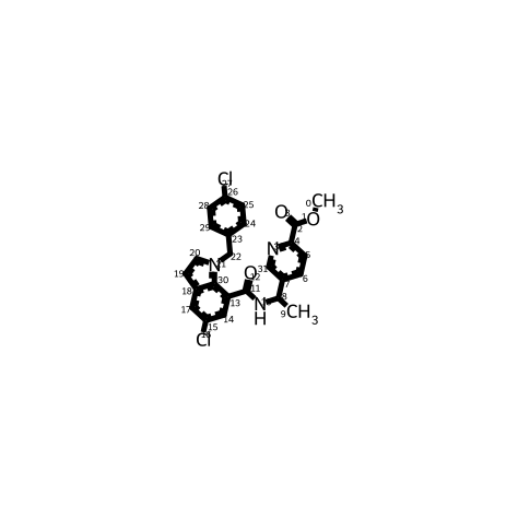 COC(=O)c1ccc(C(C)NC(=O)c2cc(Cl)cc3ccn(Cc4ccc(Cl)cc4)c23)cn1